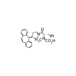 CC(C)C[C@@H](C(=O)N1CCC(=C2c3ccccc3C=Cc3ccccc32)CC1)N(C)C(=O)O